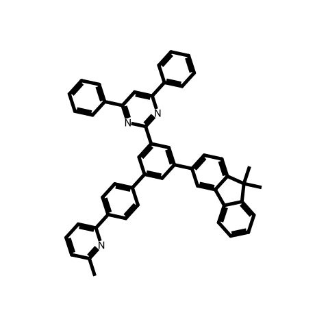 Cc1cccc(-c2ccc(-c3cc(-c4ccc5c(c4)-c4ccccc4C5(C)C)cc(-c4nc(-c5ccccc5)cc(-c5ccccc5)n4)c3)cc2)n1